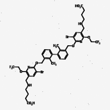 Cc1c(COc2nc(OCC(F)(F)F)c(CNCCCC(=O)O)cc2Br)cccc1-c1cccc(COc2nc(OCC(F)(F)F)c(CNCCCC(=O)O)cc2Br)c1C